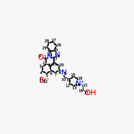 O=c1c2cccc3cc(N=Cc4cc[n+](CCO)cc4)cc(c32)c2nc3ccccc3n12.[Br-]